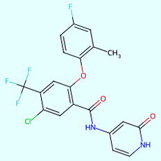 Cc1cc(F)ccc1Oc1cc(C(F)(F)F)c(Cl)cc1C(=O)Nc1cc[nH]c(=O)c1